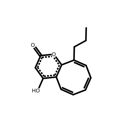 CCC/C1=C/C=C\C=C/c2c(O)cc(=O)oc21